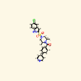 CC1CN(S(=O)(=O)c2cc3cc(Cl)ccc3[nH]2)CC(C)N1C(=O)c1ccc(-c2ccncc2)cc1